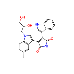 Cc1ccc2c(c1)c(C1=C(c3c[nH]c4ccccc34)C(=O)NC1=O)cn2CC(O)CO